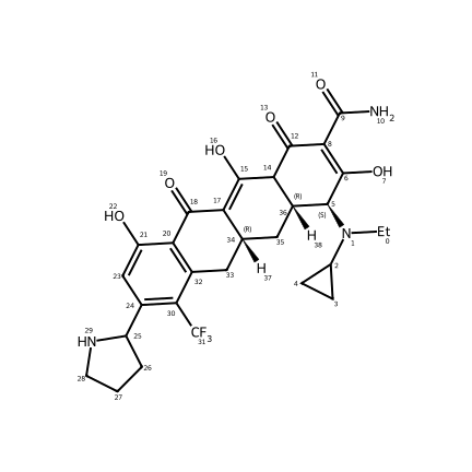 CCN(C1CC1)[C@@H]1C(O)=C(C(N)=O)C(=O)C2C(O)=C3C(=O)c4c(O)cc(C5CCCN5)c(C(F)(F)F)c4C[C@H]3C[C@H]21